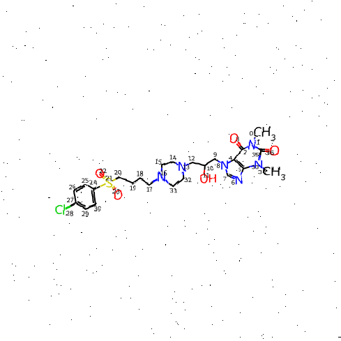 Cn1c(=O)c2c(ncn2CC(O)CN2CCN(CCCCS(=O)(=O)c3ccc(Cl)cc3)CC2)n(C)c1=O